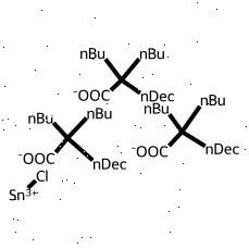 CCCCCCCCCCC(CCCC)(CCCC)C(=O)[O-].CCCCCCCCCCC(CCCC)(CCCC)C(=O)[O-].CCCCCCCCCCC(CCCC)(CCCC)C(=O)[O-].[Cl][Sn+3]